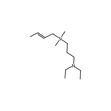 CC=CC[Si](C)(C)CCCN(CC)CC